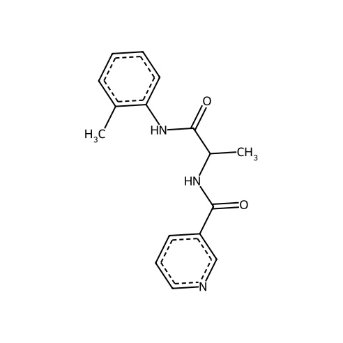 Cc1ccccc1NC(=O)C(C)NC(=O)c1cccnc1